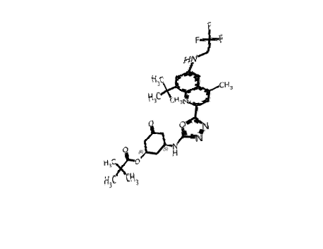 Cc1cc(-c2nnc(N[C@@H]3CC(=O)C[C@H](OC(=O)C(C)(C)C)C3)o2)nc2c(C(C)(C)C)cc(NCC(F)(F)F)cc12